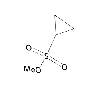 COS(=O)(=O)C1CC1